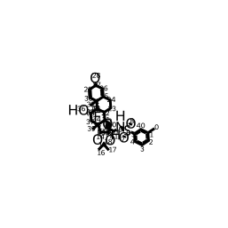 Cc1cccc(S(=O)(=O)NCC(=O)[C@@]23OC(C)(C)O[C@@H]2CC2C4CCC5=CC(=O)C=CC5(C)[C@@]4(F)[C@@H](O)CC23C)c1